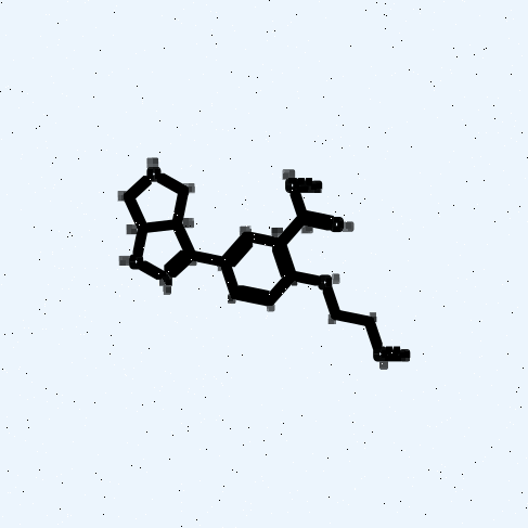 COCCOc1ccc(C2=NOC3COCC23)cc1C(=O)OC